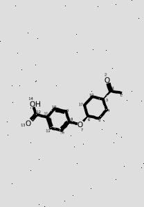 CC(=O)[C@H]1CC[C@@H](Oc2ccc(C(=O)O)cc2)CC1